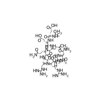 CSCC[C@H](NC(=O)[C@H](CCC(=O)O)NC(=O)[C@H](CCC(=O)O)NC(C)=O)C(=O)N[C@@H](CCC(N)=O)C(=O)N[C@@H](CCCNC(=N)N)C(=O)N[C@@H](CCCNC(=N)N)C(=O)N[C@@H](C)C(=O)N[C@@H](CC(N)=O)C(N)=O